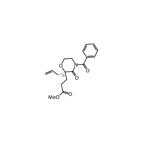 C=CC[C@]1(CCC(=O)OC)OCCN(C(=O)c2ccccc2)C1=O